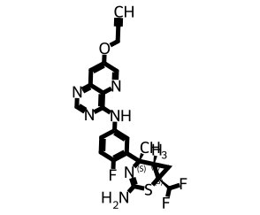 C#CCOc1cnc2c(Nc3ccc(F)c([C@@]4(C)N=C(N)S[C@@]5(C(F)F)C[C@@H]45)c3)ncnc2c1